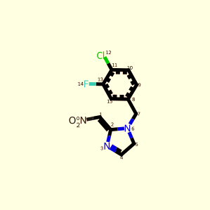 O=[N+]([O-])C=C1N=CCN1Cc1ccc(Cl)c(F)c1